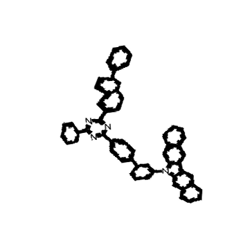 c1ccc(-c2ccc3cc(-c4nc(-c5ccccc5)nc(-c5ccc(-c6cccc(-n7c8cc9ccccc9cc8c8cc9ccccc9cc87)c6)cc5)n4)ccc3c2)cc1